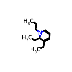 CCCN1C=CC=C(CC)C1CC